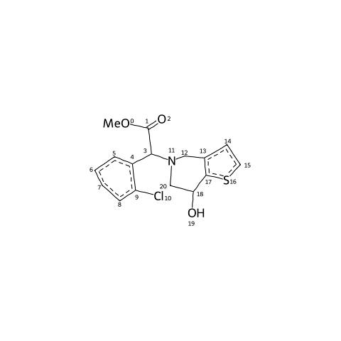 COC(=O)C(c1ccccc1Cl)N1Cc2ccsc2C(O)C1